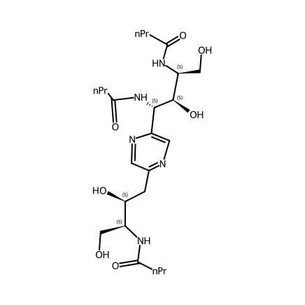 CCCC(=O)N[C@@H](CO)[C@@H](O)[C@@H](NC(=O)CCC)c1cnc(C[C@H](O)[C@H](CO)NC(=O)CCC)cn1